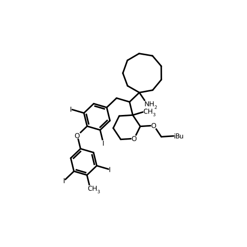 CCC(C)COC1OCCCC1(C)C(Cc1cc(I)c(Oc2cc(I)c(C)c(I)c2)c(I)c1)C1(N)CCCCCCCC1